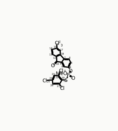 COP(=O)(Oc1ccc2c(c1)C(=O)c1ccc(C(F)(F)F)cc1-2)Sc1c(Cl)cc(Cl)cc1Cl